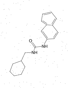 O=C(NCC1CCCCC1)Nc1ccc2ccccc2c1